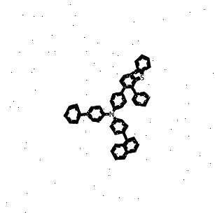 c1ccc(-c2ccc(N(c3ccc(-c4ccc5c(sc6ccccc65)c4-c4ccccc4)cc3)c3ccc(-c4cccc5ccccc45)cc3)cc2)cc1